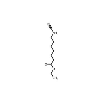 CCOC(=O)CCCCCCNC#N